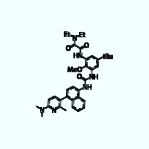 CCN(CC)C(=O)C(=O)Nc1cc(C(C)(C)C)cc(NC(=O)Nc2ccc(-c3ccc(N(C)C)nc3C)c3ccccc23)c1OC